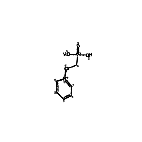 O=P(O)(O)CO[n+]1ccccc1